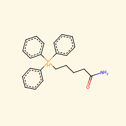 NC(=O)CCCC[PH](c1ccccc1)(c1ccccc1)c1ccccc1